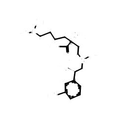 CN(CC[C@](N)(CCCCB(O)O)C(=O)O)C[C@H](O)c1cccc(O)c1